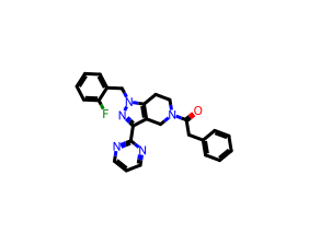 O=C(Cc1ccccc1)N1CCc2c(c(-c3ncccn3)nn2Cc2ccccc2F)C1